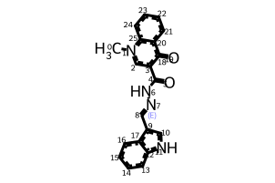 Cn1cc(C(=O)N/N=C/c2c[nH]c3ccccc23)c(=O)c2ccccc21